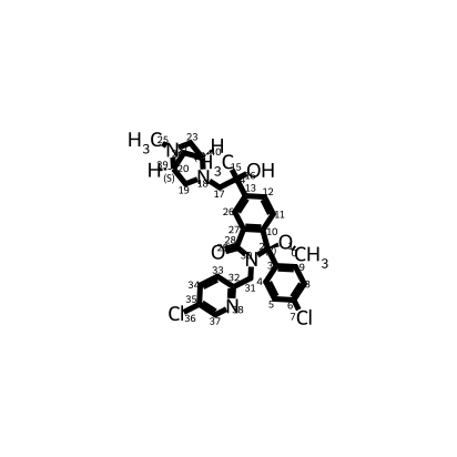 CO[C@]1(c2ccc(Cl)cc2)c2ccc(C(C)(O)CN3C[C@@H]4C[C@H]3CN4C)cc2C(=O)N1Cc1ccc(Cl)cn1